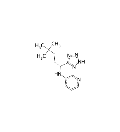 CC(C)(C)CC[C@@H](Nc1cccnc1)c1nn[nH]n1